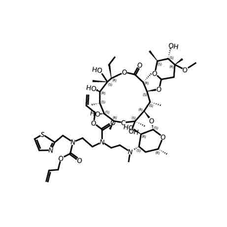 C=CCOC(=O)N(CCN(Cc1nccs1)C(=O)OCC=C)CCN(C)[C@H]1C[C@@H](C)O[C@@H](O[C@@H]2[C@@H](C)[C@H](OC3C[C@@](C)(OC)[C@@H](O)[C@H](C)O3)[C@@H](C)C(=O)O[C@H](CC)[C@@](C)(O)[C@H](O)[C@@H](C)[C@@H](O)[C@H](C)C[C@]2(C)O)[C@@H]1O